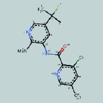 CNc1ncc(C(C)(F)C(F)(F)F)cc1NC(=O)c1ncc(C(F)(F)F)cc1Cl